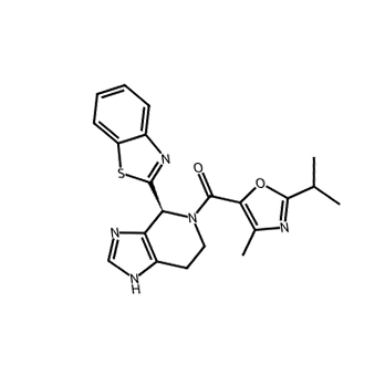 Cc1nc(C(C)C)oc1C(=O)N1CCc2[nH]cnc2[C@H]1c1nc2ccccc2s1